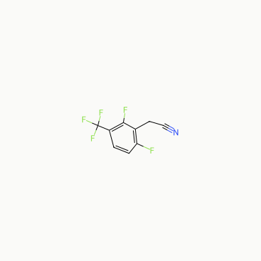 N#CCc1c(F)ccc(C(F)(F)F)c1F